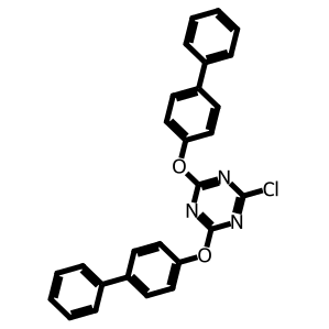 Clc1nc(Oc2ccc(-c3ccccc3)cc2)nc(Oc2ccc(-c3ccccc3)cc2)n1